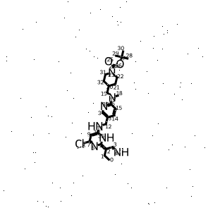 CC/C(C=N)=C1\N=C(Cl)C=C(NCc2ccc(N(C)CC3CCN(C(=O)OC(C)(C)C)CC3)nc2)N1